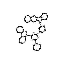 c1ccc(-c2nc(-c3cccc(-n4c5ccccc5c5cc6ccccc6cc54)c3)nc(-c3cc4ccccc4c4ccccc34)n2)cc1